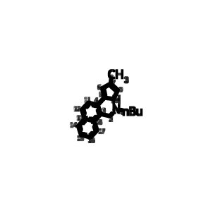 CCCCNCc1c(C2=CC(C)=CC2)ccc2ccccc12